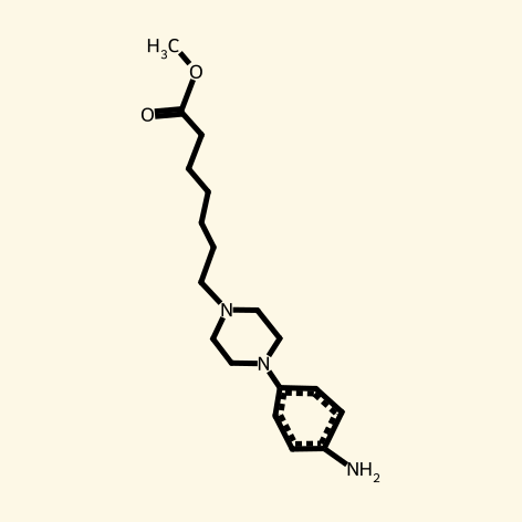 COC(=O)CCCCCCN1CCN(c2ccc(N)cc2)CC1